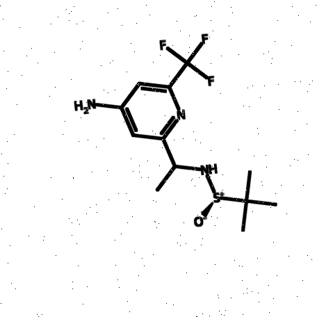 CC(N[S@+]([O-])C(C)(C)C)c1cc(N)cc(C(F)(F)F)n1